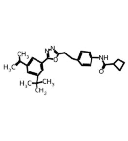 C=C(C)c1cc(-c2nnc(CCc3ccc(NC(=O)C4CCC4)cc3)o2)cc(C(C)(C)C)c1